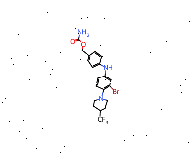 NC(=O)OCc1ccc(Nc2ccc(N3CCC(C(F)(F)F)CC3)c(Br)c2)cc1